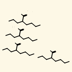 CCCCC(CCC)C(=O)O.CCCCC(CCC)C(=O)O.CCCCC(CCC)C(=O)O.CCCCC(CCC)C(=O)O.[SiH4]